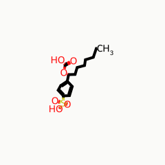 CCCCCCCC(OC(=O)O)c1ccc(S(=O)(=O)O)cc1